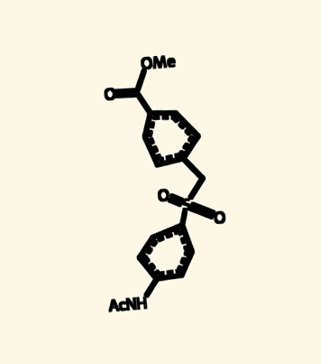 COC(=O)c1ccc(CS(=O)(=O)c2ccc(NC(C)=O)cc2)cc1